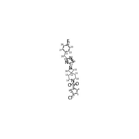 O=S(=O)(c1ccc(Cl)s1)N1CCC2(CC1)CN(c1nc(Cc3ccc(F)cc3)ns1)C2